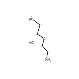 Cl.NCCOCCO